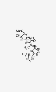 COc1cc2[nH]c(=O)c(C(C)Nc3cc(-c4cscc4C)ccn3)cc2cc1Cl